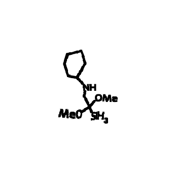 COC([SiH3])(CNC1CCCCC1)OC